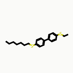 CCCCCCCSc1ccc(-c2ccc(SCC)cc2)cc1